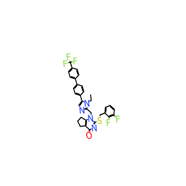 CCn1c(-c2ccc(-c3ccc(C(F)(F)F)cc3)cc2)cnc1Cn1c(SCc2cccc(F)c2F)nc(=O)c2c1CCC2